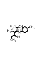 CCC(=N)/C(C)=C(\NC1CCN(C)CC1)C(C)C